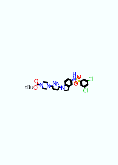 CC(C)(C)OC(=O)N1CCN(c2ccc(N3CCc4cc(NS(=O)(=O)c5cc(Cl)cc(Cl)c5)ccc43)nn2)CC1